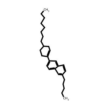 CCCCCCCCC1CC=C(c2ccc3cc(CCCCC)ccc3c2)CC1